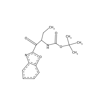 CCC(NC(=O)OC(C)(C)C)C(=O)c1nc2ccccc2o1